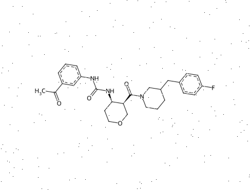 CC(=O)c1cccc(NC(=O)N[C@@H]2CCOC[C@@H]2C(=O)N2CCCC(Cc3ccc(F)cc3)C2)c1